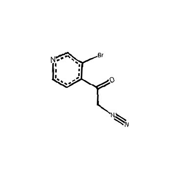 N#[N+]CC(=O)c1ccncc1Br